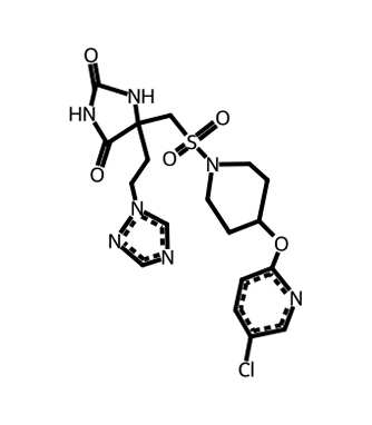 O=C1NC(=O)C(CCn2cncn2)(CS(=O)(=O)N2CCC(Oc3ccc(Cl)cn3)CC2)N1